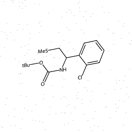 CSCC(NC(=O)OC(C)(C)C)c1ccccc1Cl